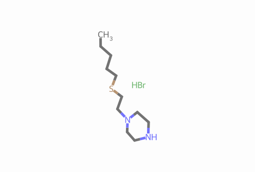 Br.CCCCCSCCN1CCNCC1